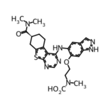 CN(C)C(=O)[C@H]1CCc2c(sc3ncnc(Nc4cc5cn[nH]c5cc4OCCN(C)C(=O)O)c23)C1